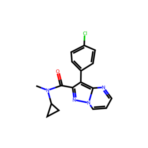 CN(C(=O)c1nn2cccnc2c1-c1ccc(Cl)cc1)C1CC1